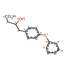 O=C(O)CC(O)Cc1ccc(Sc2ccccc2)cc1